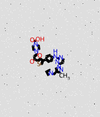 Cc1nn(-c2ccnc(Nc3ccc(-c4csc5c(=O)cc(N6CCN(C(=O)O)CC6)oc45)cc3)n2)cc1CN1CCC1